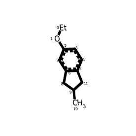 CCOc1ccc2c(c1)CC(C)C2